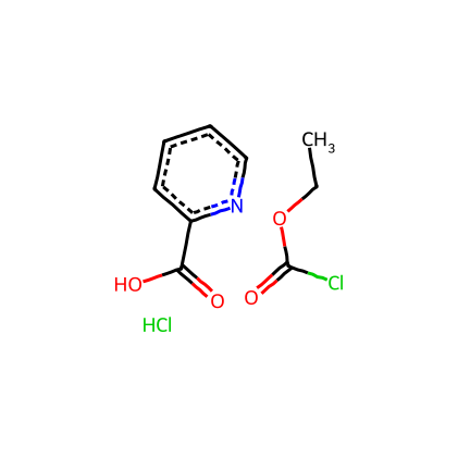 CCOC(=O)Cl.Cl.O=C(O)c1ccccn1